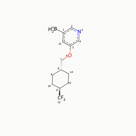 Bc1cncc(OC[C@H]2CC[C@H](C(F)(F)F)CC2)c1